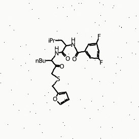 CCCCC(NC(=O)C(CC(C)C)NC(=O)c1cc(F)cc(F)c1)C(=O)CSCc1ccco1